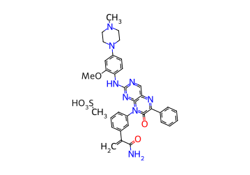 C=C(C(N)=O)c1cccc(-n2c(=O)c(-c3ccccc3)nc3cnc(Nc4ccc(N5CCN(C)CC5)cc4OC)nc32)c1.CS(=O)(=O)O